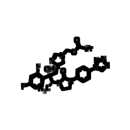 CC(C)C(=O)OCN1C=NN(C[C@](O)(c2ccc(F)cc2F)[C@@H](C)N2CCN(c3ccc(-n4cnnn4)cc3)C2=O)C1